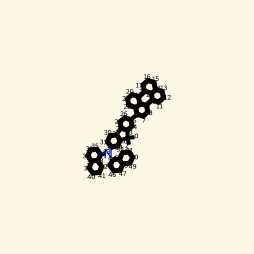 CC1(C)c2cc(-c3ccc4c5cccc6cccc(c7cccc3c74)c65)ccc2-c2ccc(N(c3cccc4ccccc34)c3cccc4ccccc34)cc21